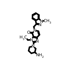 CCn1c(N2CCCC(N)C2)nc2ccn(Cc3nn(C)c4ccccc34)c(=O)c21